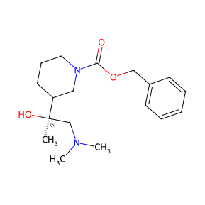 CN(C)C[C@@](C)(O)C1CCCN(C(=O)OCc2ccccc2)C1